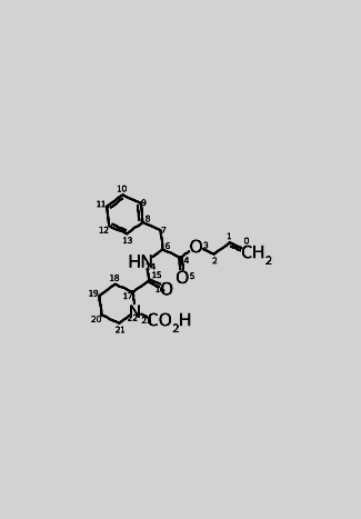 C=CCOC(=O)C(Cc1ccccc1)NC(=O)C1CCCCN1C(=O)O